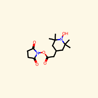 CC1(C)CC(CC(=O)ON2C(=O)CCC2=O)CC(C)(C)N1O